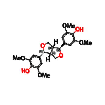 COc1cc([C@H]2OC[C@H]3[C@@H]2CO[C@H]3c2cc(OC)c(O)c(OC)c2)cc(OC)c1O